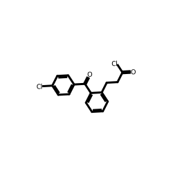 O=C(Cl)CCc1ccccc1C(=O)c1ccc(Cl)cc1